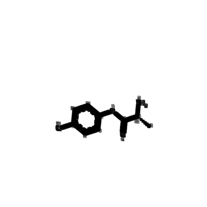 C[C@@H](N)C(=O)Oc1ccc(Cl)cc1